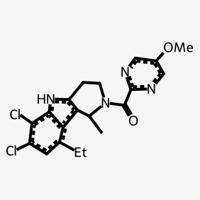 CCc1cc(Cl)c(Cl)c2[nH]c3c(c12)C(C)N(C(=O)c1ncc(OC)cn1)CC3